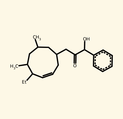 CCC1C=CCC(CC(=O)C(O)c2ccccc2)CC(C)CC1C